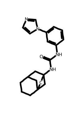 O=C(Nc1cccc(-n2ccnc2)c1)NC12CC3CCCC(C3)(C1)C2